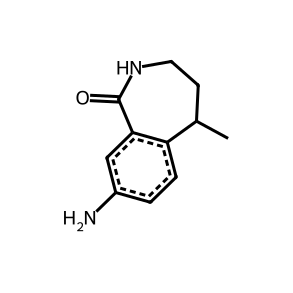 CC1CCNC(=O)c2cc(N)ccc21